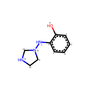 Oc1ccccc1NN1CCNC1